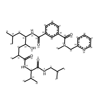 CC(C)CNC(=O)C(NC(=O)C(C)CC(O)C(CC(C)C)NC(=O)c1cccc(C(=O)N(C)Cc2ccccn2)c1)C(C)C